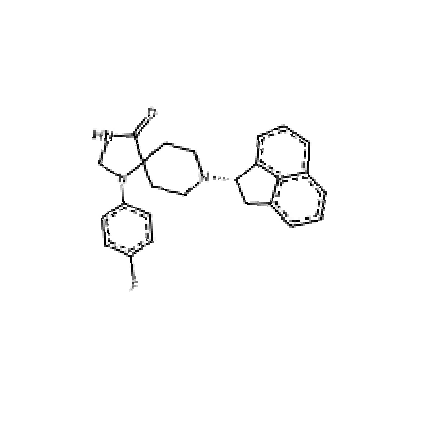 O=C1NCN(c2ccc(F)cc2)C12CCN([C@H]1Cc3cccc4cccc1c34)CC2